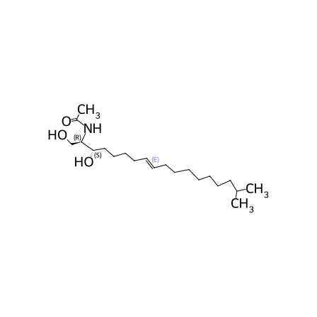 CC(=O)N[C@H](CO)[C@@H](O)CCCC/C=C/CCCCCCCC(C)C